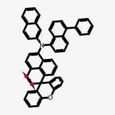 c1ccc(-c2cccc3c(N(c4ccc5ccccc5c4)c4ccc5c6c(cccc46)C4(c6ccccc6Oc6ccccc64)c4ccccc4-5)cccc23)cc1